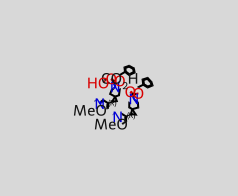 CN=CC(=COC)[C@@H]1CC12CCN(C(=O)OCc1ccccc1)CC2.CN=CC(=COC)[C@@H]1CC12CCN(C(=O)OCc1ccccc1)CC2.O=C(O)O